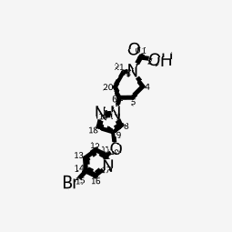 O=C(O)N1CCC(n2cc(Oc3ccc(Br)cn3)cn2)CC1